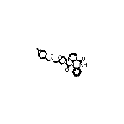 CN1CCC(CNCC2CN(C(=O)N3c4ccccc4NC(=O)c4cccnc43)CCO2)CC1